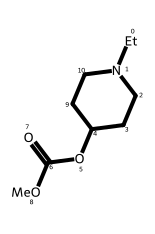 CCN1CCC(OC(=O)OC)CC1